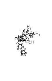 Cc1cn(C(C(=O)N2CC(O)CC2C(=O)NC(Cc2ccc(-c3ccccc3)cc2)C(N)=O)C(C)C)nn1